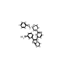 Nc1cccc(-c2nc3n(c2-c2ccnc(N4CCO[C@@H](COc5ccccc5)C4)n2)CCS3)c1